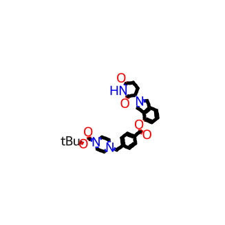 CC(C)(C)OC(=O)N1CCN(Cc2ccc(C(=O)Oc3cccc4c3CN(C3CCC(=O)NC3=O)C4)cc2)CC1